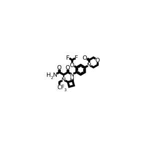 NC(=O)[C@@H](C(=O)Nc1ccc(N2CCOCC2=O)cc1OC(F)F)N(CC(F)(F)F)C1CCC1